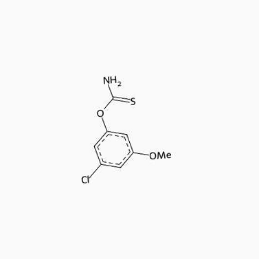 COc1cc(Cl)cc(OC(N)=S)c1